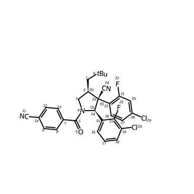 CC(C)(C)C[C@@H]1CN(C(=O)c2ccc(C#N)cc2)[C@H](c2cccc(Cl)c2F)[C@@]1(C#N)c1ccc(Cl)cc1F